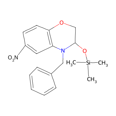 C[Si](C)(C)OC1COc2ccc([N+](=O)[O-])cc2N1Cc1ccccc1